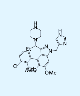 CCC(c1nn(Cc2c[nH]cn2)c2cc(OC)c(OC)c(-c3cccc(Cl)c3C)c12)N1CCNCC1